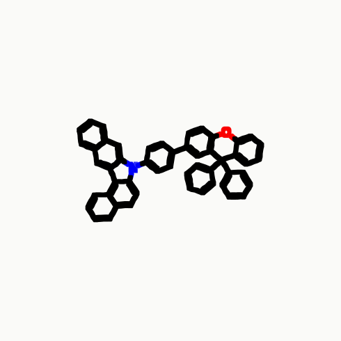 c1ccc(C2(c3ccccc3)c3ccccc3Oc3ccc(-c4ccc(-n5c6cc7ccccc7cc6c6c7ccccc7ccc65)cc4)cc32)cc1